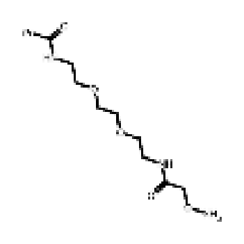 CC(C)C(=O)NCCOCCOCCNC(=O)CON